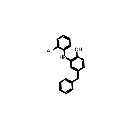 CC(=O)c1ccccc1Pc1cc(Cc2ccccc2)ccc1O